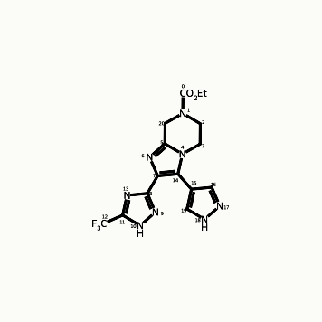 CCOC(=O)N1CCn2c(nc(-c3n[nH]c(C(F)(F)F)n3)c2-c2cn[nH]c2)C1